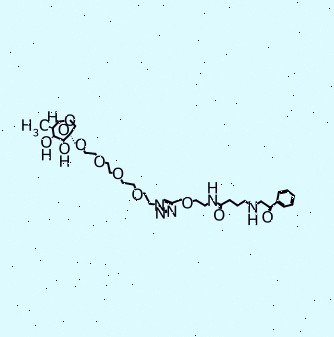 C[C@H]1[C@H]2OC[C@](COCCOCCOCCOCCn3cc(COCCNC(=O)CCCNCC(=O)c4ccccc4)nn3)(O2)[C@H](O)[C@@H]1O